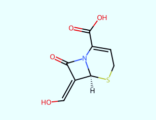 O=C(O)C1=CCS[C@H]2C(=CO)C(=O)N12